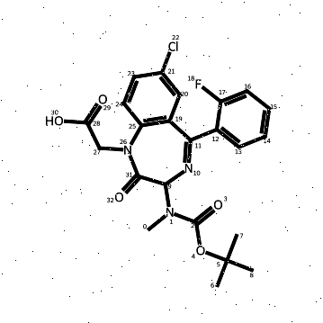 CN(C(=O)OC(C)(C)C)C1N=C(c2ccccc2F)c2cc(Cl)ccc2N(CC(=O)O)C1=O